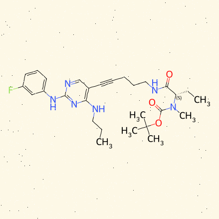 CCCNc1nc(Nc2cccc(F)c2)ncc1C#CCCCNC(=O)[C@H](CC)N(C)C(=O)OC(C)(C)C